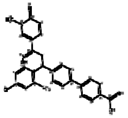 Cc1cc(Cl)ccc1C(C/C(=N\O)c1ccc(=O)n(C)c1)c1ccc(-c2ccc(C(=O)O)cc2)cc1